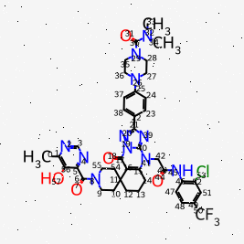 Cc1ncnc(C(=O)N2CCC3(CCCc4c3c(=O)n3nc(-c5ccc(N6CCN(C(=O)N(C)C)CC6)cc5)nc3n4CC(=O)Nc3ccc(C(F)(F)F)cc3Cl)CC2)c1O